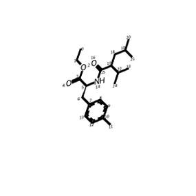 CCOC(=O)[C@H](Cc1ccc(C)cc1)NC(=O)C(CC(C)C)C(C)C